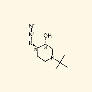 CC(C)(C)N1CC[C@@H](N=[N+]=[N-])[C@H](O)C1